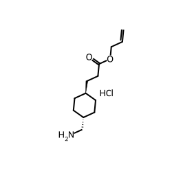 C=CCOC(=O)CC[C@H]1CC[C@H](CN)CC1.Cl